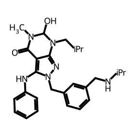 CC(C)CN1c2nn(Cc3cccc(CNC(C)C)c3)c(Nc3ccccc3)c2C(=O)N(C)C1O